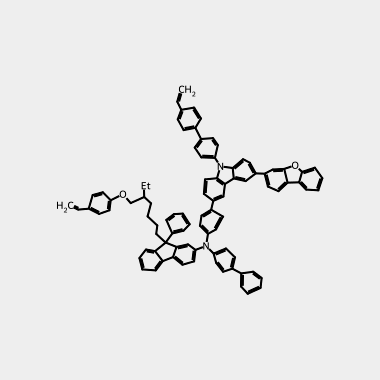 C=Cc1ccc(OCC(CC)CCCCC2(c3ccccc3)c3ccccc3-c3ccc(N(c4ccc(-c5ccccc5)cc4)c4ccc(-c5ccc6c(c5)c5cc(-c7ccc8c(c7)oc7ccccc78)ccc5n6-c5ccc(-c6ccc(C=C)cc6)cc5)cc4)cc32)cc1